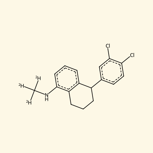 [2H]C([2H])([2H])Nc1cccc2c1CCCC2c1ccc(Cl)c(Cl)c1